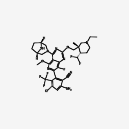 CCN1CC[C@H](C(F)F)[C@](C)(COc2nc(N3C[C@H]4CC[C@@H](C3)N4)c3c(OC)nc(-c4c(C#N)c(N)cc(Cl)c4C(F)(F)F)c(F)c3n2)C1